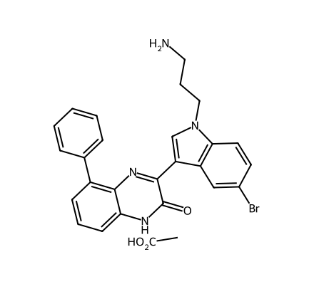 CC(=O)O.NCCCn1cc(-c2nc3c(-c4ccccc4)cccc3[nH]c2=O)c2cc(Br)ccc21